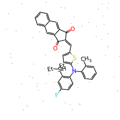 CC[SiH](CC)c1cc(F)ccc1N(c1ccc(C=C2C(=O)c3cc4ccccc4cc3C2=O)s1)c1ccccc1C